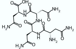 NC(=O)C[C@H](NC(=O)[C@H](CC(N)=O)NC(=O)[C@H](CC(N)=O)NC(=O)[C@@H](N)CC(N)=O)C(=O)O